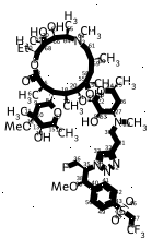 CC[C@H]1OC(=O)[C@H](C)[C@@H](C2C[C@@](C)(OC)[C@@H](O)[C@H](C)O2)[C@H](C)[C@@H](O[C@@H]2O[C@H](C)C[C@H](N(C)CCc3cn([C@H](CF)[C@H](OC)c4ccc(S(=O)(=O)CC(F)(F)F)cc4)nn3)[C@H]2O)[C@](C)(O)C[C@@H](C)CN(C)[C@H](C)[C@@H](O)[C@]1(C)O